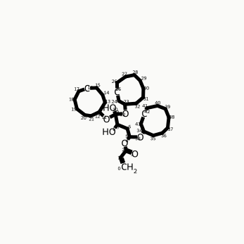 C=CC(=O)OC(CC(O)C(O)(OC1CCCCCCCCC1)OC1CCCCCCCCC1)OC1CCCCCCCCC1